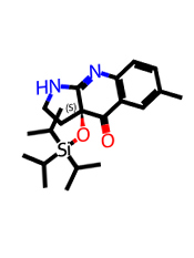 Cc1ccc2c(c1)C(=O)[C@]1(O[Si](C(C)C)(C(C)C)C(C)C)CCNC1=N2